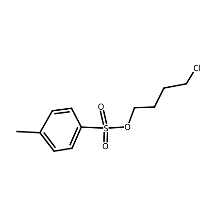 Cc1ccc(S(=O)(=O)OCCCCCl)cc1